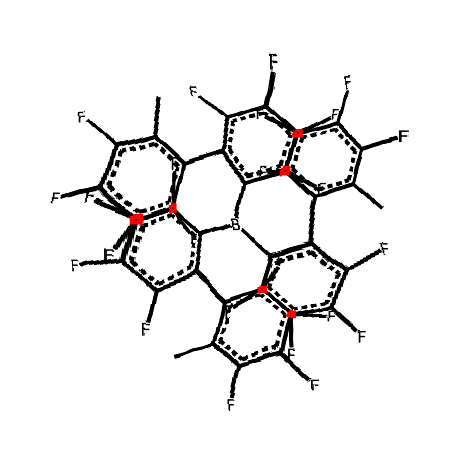 Cc1c(F)c(F)c(F)c(F)c1-c1c(F)c(F)c(F)c(F)c1B(c1c(F)c(F)c(F)c(F)c1-c1c(C)c(F)c(F)c(F)c1F)c1c(F)c(F)c(F)c(F)c1-c1c(C)c(F)c(F)c(F)c1F